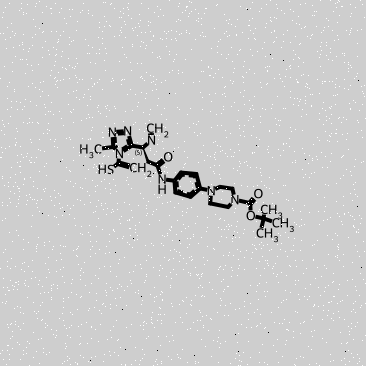 C=N[C@@H](CC(=O)Nc1ccc(N2CCN(C(=O)OC(C)(C)C)CC2)cc1)c1nnc(C)n1C(=C)S